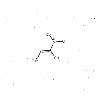 C/C=C(\C)[SiH](Cl)Cl